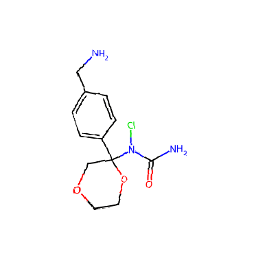 NCc1ccc(C2(N(Cl)C(N)=O)COCCO2)cc1